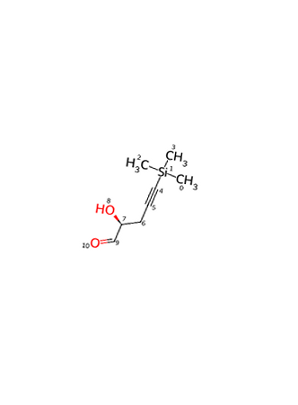 C[Si](C)(C)C#CC[C@H](O)C=O